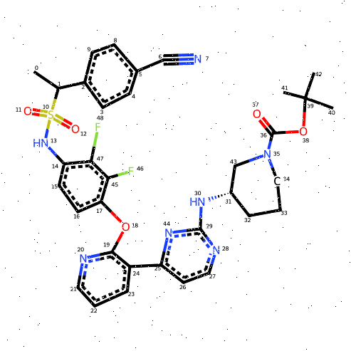 CC(c1ccc(C#N)cc1)S(=O)(=O)Nc1ccc(Oc2ncccc2-c2ccnc(N[C@H]3CCCN(C(=O)OC(C)(C)C)C3)n2)c(F)c1F